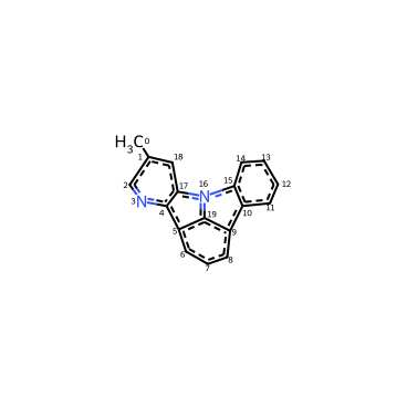 Cc1cnc2c3cccc4c5ccccc5n(c2c1)c43